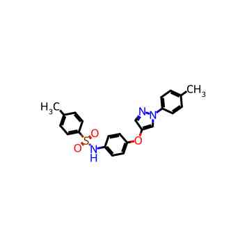 Cc1ccc(-n2cc(Oc3ccc(NS(=O)(=O)c4ccc(C)cc4)cc3)cn2)cc1